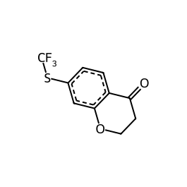 O=C1CCOc2cc(SC(F)(F)F)ccc21